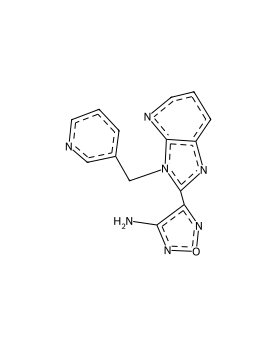 Nc1nonc1-c1nc2cccnc2n1Cc1cccnc1